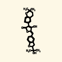 CC1(C)CCc2cc(C3=C(O)C(=Cc4ccc5c(c4)CC(C(C)(C)O)O5)OC3=O)ccc2O1